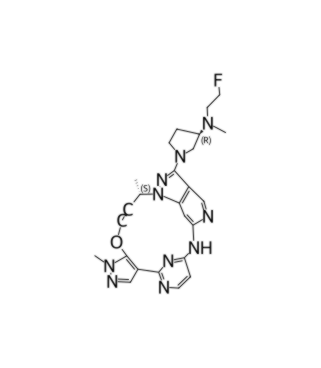 C[C@H]1CCOc2c(cnn2C)-c2nccc(n2)Nc2cc3c(cn2)c(N2CC[C@@H](N(C)CCF)C2)nn31